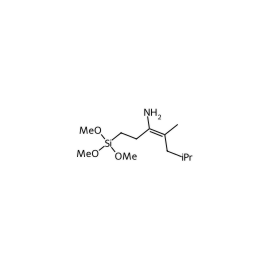 CO[Si](CCC(N)=C(C)CC(C)C)(OC)OC